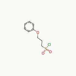 O=S(=O)(Cl)CCCOc1ccccc1